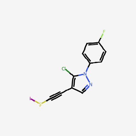 Fc1ccc(-n2ncc(C#CSI)c2Cl)cc1